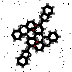 c1ccc2c(c1)Oc1ccccc1N2c1cc(-c2nc3ccccc3o2)ccc1-c1ccc(-c2nc3ccccc3s2)cc1N1c2ccccc2Oc2ccccc21